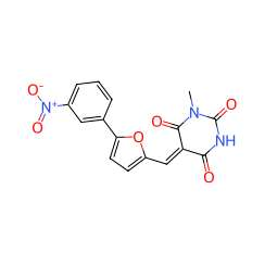 CN1C(=O)NC(=O)C(=Cc2ccc(-c3cccc([N+](=O)[O-])c3)o2)C1=O